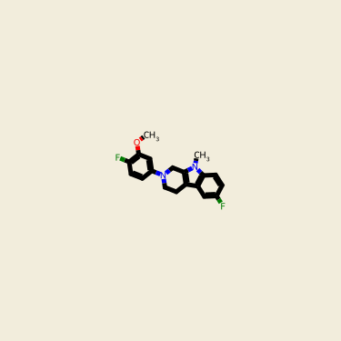 COc1cc(N2CCc3c(n(C)c4ccc(F)cc34)C2)ccc1F